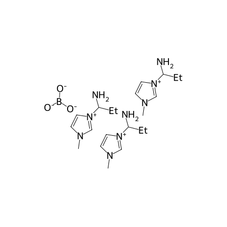 CCC(N)[n+]1ccn(C)c1.CCC(N)[n+]1ccn(C)c1.CCC(N)[n+]1ccn(C)c1.[O-]B([O-])[O-]